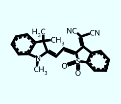 CN1/C(=C/C=C2/C(=C(C#N)C#N)c3ccccc3S2(=O)=O)C(C)(C)c2ccccc21